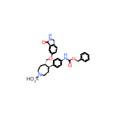 O=C(Nc1ccc([C@H]2CCN(C(=O)O)CC[C@@H]2COc2ccc3c(c2)C(=O)NC3)cc1)OCc1ccccc1